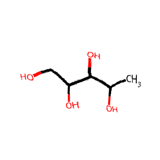 CC(O)C(O)[C](O)CO